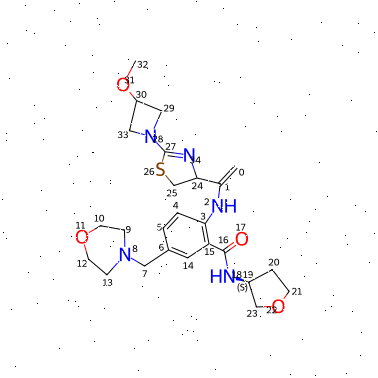 C=C(Nc1ccc(CN2CCOCC2)cc1C(=O)N[C@H]1CCOC1)C1CSC(N2CC(OC)C2)=N1